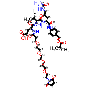 CC(C)C(=O)OCc1ccc(NC(=O)[C@H](CCCNC(N)=O)NC(=O)[C@@H](NC(=O)[C@H](CCC(=O)O)NC(=O)CCOCCOCCOCCOCCN2C(=O)C=CC2=O)C(C)C)cc1